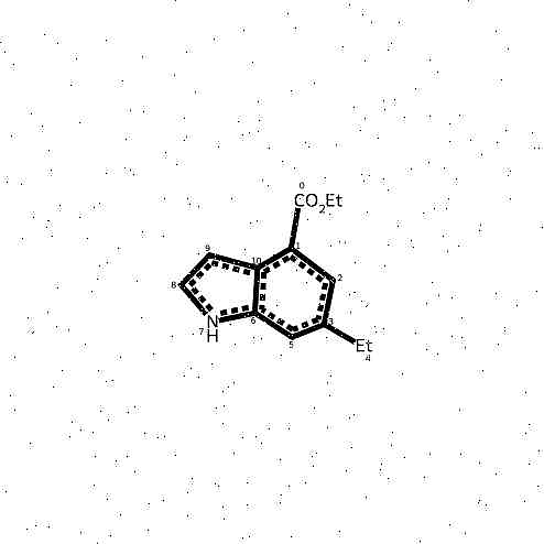 CCOC(=O)c1cc(CC)cc2[nH]ccc12